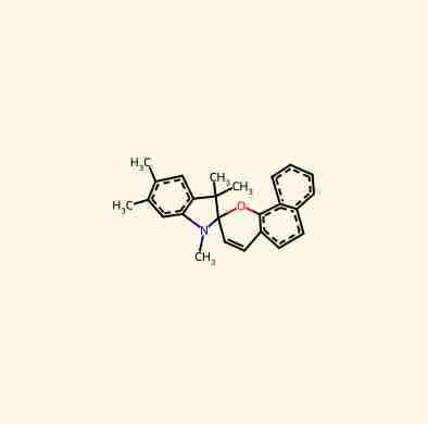 Cc1cc2c(cc1C)C(C)(C)C1(C=Cc3ccc4ccccc4c3O1)N2C